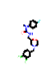 CN(C(=O)NCC1CN(Cc2ccc(Cl)c(Cl)c2)CCO1)c1ccc(F)cc1